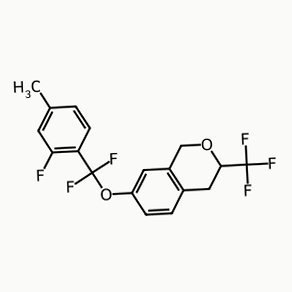 Cc1ccc(C(F)(F)Oc2ccc3c(c2)COC(C(F)(F)F)C3)c(F)c1